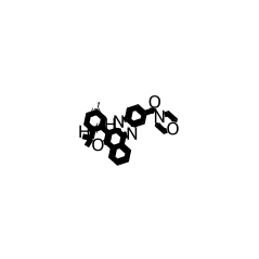 C[C@H]1CC[C@H]2[C@H](C1)c1c(c3ccccc3c3nc4cc(C(=O)N5CCOCC5)ccc4nc13)OC2(C)C